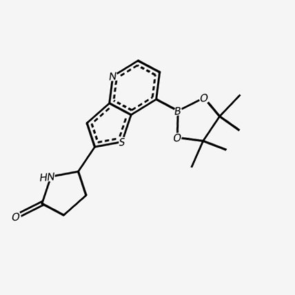 CC1(C)OB(c2ccnc3cc(C4CCC(=O)N4)sc23)OC1(C)C